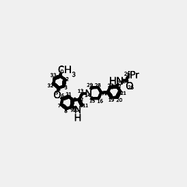 Cc1ccc(Oc2ccc3[nH]cc(CN4CCC(c5cccc(NC(=O)C(C)C)c5)CC4)c3c2)cc1